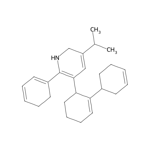 CC(C)C1=CC(C2CCCC=C2C2CC=CCC2)=C(C2=CC=CCC2)NC1